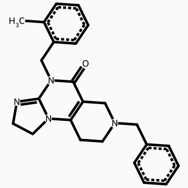 Cc1ccccc1CN1C(=O)C2=C(CCN(Cc3ccccc3)C2)N2CCN=C12